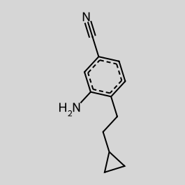 N#Cc1ccc(CCC2CC2)c(N)c1